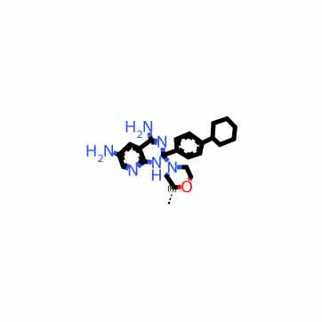 C[C@@H]1CN(C2(c3ccc(C4CCCCC4)cc3)N=C(N)c3cc(N)cnc3N2)CCO1